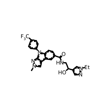 CCn1cc(C(O)CNC(=O)c2ccc3c(c2)c2cn(C)nc2n3-c2ccc(C(F)(F)F)cc2)cn1